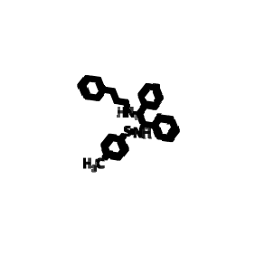 Cc1ccc(SN[C@H](c2ccccc2)[C@H](NCCCC2=CCC=CC2)c2ccccc2)cc1